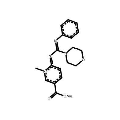 COC(=O)c1ccc(=NC(=Nc2ccccc2)N2CCOCC2)n(C)c1